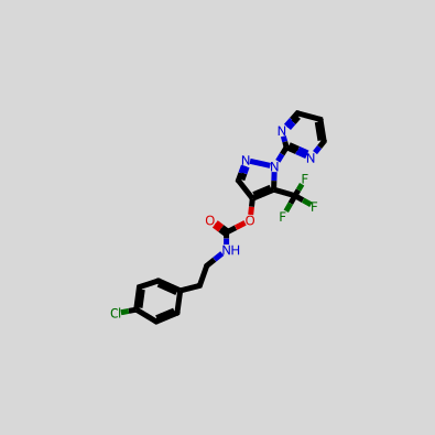 O=C(NCCc1ccc(Cl)cc1)Oc1cnn(-c2ncccn2)c1C(F)(F)F